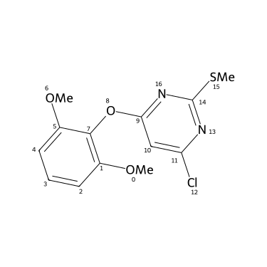 COc1cccc(OC)c1Oc1cc(Cl)nc(SC)n1